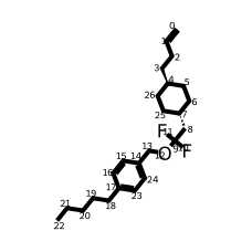 C=CCC[C@H]1CC[C@H](CC(F)(F)OCc2ccc(CCCCC)cc2)CC1